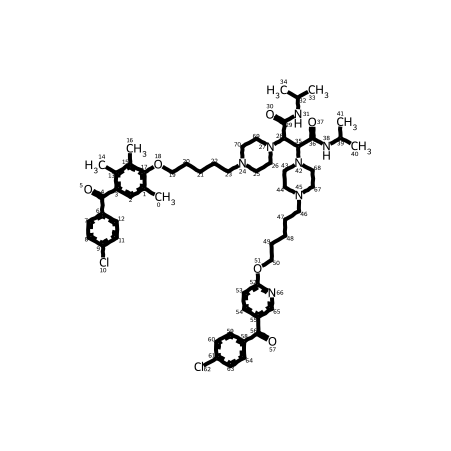 Cc1cc(C(=O)c2ccc(Cl)cc2)c(C)c(C)c1OCCCCCN1CCN(C(C(=O)NC(C)C)C(C(=O)NC(C)C)N2CCN(CCCCCOc3ccc(C(=O)c4ccc(Cl)cc4)cn3)CC2)CC1